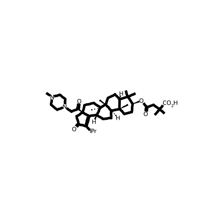 CC(C)C1=C2[C@H]3CC[C@@H]4[C@@]5(C)CC[C@H](OC(=O)CC(C)(C)C(=O)O)C(C)(C)[C@@H]5CC[C@@]4(C)[C@]3(C)CC[C@@]2(C(=O)CN2CCN(C)CC2)CC1=O